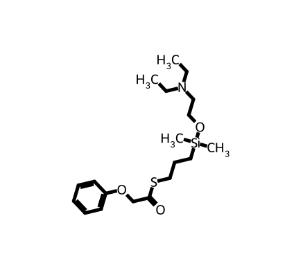 CCN(CC)CCO[Si](C)(C)CCCSC(=O)COc1ccccc1